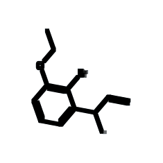 [CH2]C(C=C)c1cccc(OCC)c1Br